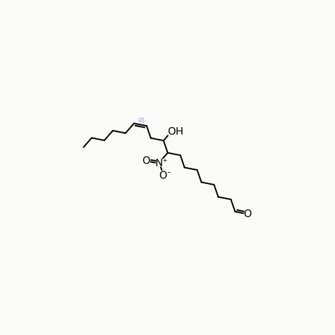 CCCCC/C=C\CC(O)C(CCCCCCCC=O)[N+](=O)[O-]